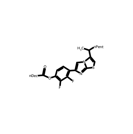 CCCCCCCCCCC(=O)Oc1ccc(-c2cn3c(C(C)CCCCC)csc3n2)c(F)c1F